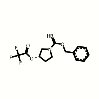 B=C(OCc1ccccc1)N1CC[C@H](OC(=O)C(F)(F)F)C1